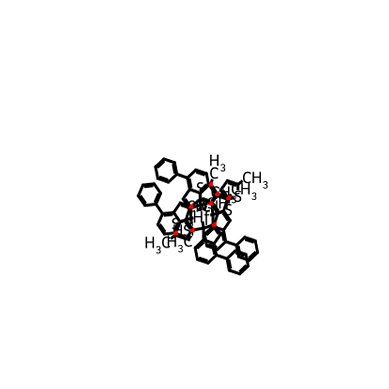 Cc1ccc(C2=Cc3c(-c4ccccc4)cccc3[C]23[SiH](C)[C]2(C(c4ccc(C)s4)=Cc4c(-c5ccccc5)cccc42)[Hf]32([Cl])([Cl])[C]3(C(c4ccc(C)s4)=Cc4c(-c5ccccc5)cccc43)[SiH](C)[C]23C(c2ccc(C)s2)=Cc2c(-c4ccccc4)cccc23)s1